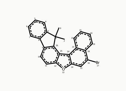 CC1(C)c2ccccc2-c2ccc3oc4cc(Br)c5ccccc5c4c3c21